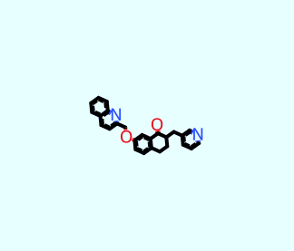 O=C1c2cc(OCc3ccc4ccccc4n3)ccc2CCC1Cc1cccnc1